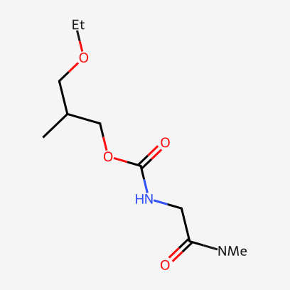 CCOCC(C)COC(=O)NCC(=O)NC